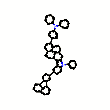 c1ccc(N(c2ccccc2)c2ccc(-c3ccc4ccc5c6c(ccc3c46)cc3c5c4cc(-c5ccc6c(c5)-c5cccc7cccc-6c57)ccc4n3-c3ccccc3)cc2)cc1